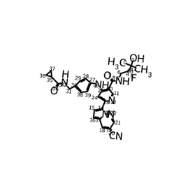 CC(C)(O)[C@H](F)CNC(=O)c1cnc(-c2ccc3cc(C#N)cnn23)cc1Nc1ccc(CNC(=O)C2CC2)cc1